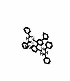 N#Cc1ccc(-c2nc(-c3ccccc3)nc(-c3ccccc3)n2)c(-c2ccc(-c3ccccc3)cc2-c2nc(-c3ccccc3)nc(-c3ccccc3)n2)c1